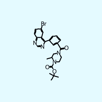 CC1CN(C(=O)c2cccc(-c3ncnc4ccc(Br)cc34)c2)CCN1C(=O)OC(C)(C)C